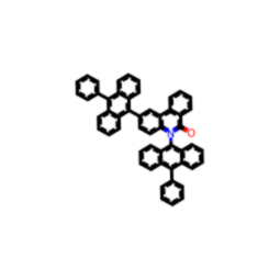 O=c1c2ccccc2c2cc(-c3c4ccccc4c(-c4ccccc4)c4ccccc34)ccc2n1-c1c2ccccc2c(-c2ccccc2)c2ccccc12